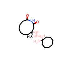 BC1(BBBC2(C)CCCCCCC(=O)NC(=O)C2)CCCCCCC1